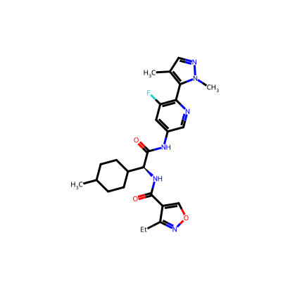 CCc1nocc1C(=O)N[C@H](C(=O)Nc1cnc(-c2c(C)cnn2C)c(F)c1)C1CCC(C)CC1